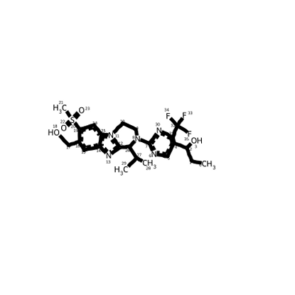 CCC(O)c1cnc(N2CCn3c(nc4cc(CO)c(S(C)(=O)=O)cc43)C2C(C)C)nc1C(F)(F)F